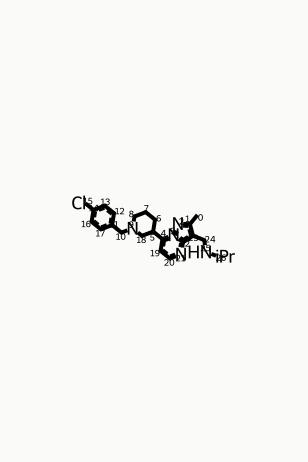 Cc1nn2c(C3CCCN(Cc4ccc(Cl)cc4)C3)ccnc2c1CNC(C)C